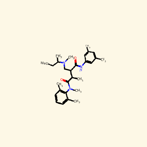 COCC(C)N(C)CC(C(=O)Nc1cc(C(F)(F)F)cc(C(F)(F)F)c1)C(C)C(=O)N(C)c1c(C)cccc1C